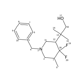 CC1CN(Cc2ccccc2)CC(C(C)(C)CO)C1(F)F